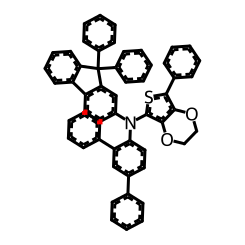 c1ccc(-c2ccc(N(c3ccc4c(c3)C(c3ccccc3)(c3ccccc3)c3ccccc3-4)c3sc(-c4ccccc4)c4c3OCCO4)c(-c3ccccc3)c2)cc1